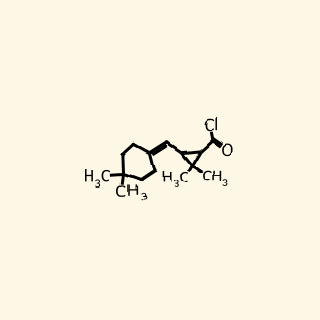 CC1(C)CCC(=CC2C(C(=O)Cl)C2(C)C)CC1